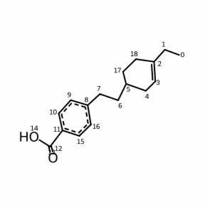 CCC1=CCC(CCc2ccc(C(=O)O)cc2)CC1